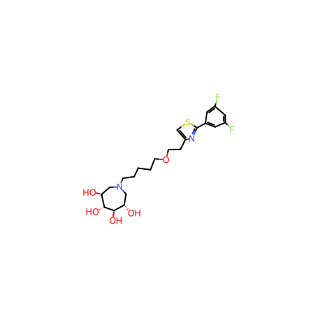 O[C@H]1[C@H](O)[C@@H](O)CN(CCCCCOCCc2csc(-c3cc(F)cc(F)c3)n2)C[C@@H]1O